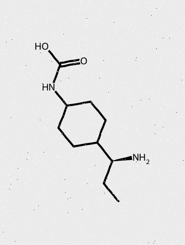 CC[C@H](N)C1CCC(NC(=O)O)CC1